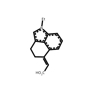 CCn1cc2c3c(cccc31)/C(=C/C(=O)O)CC2